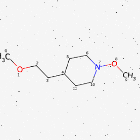 COCCC1CCN(OC)CC1